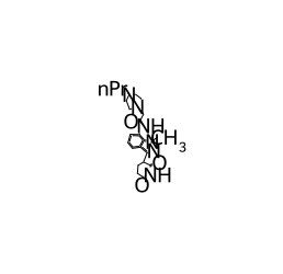 CCCN1CCN(CC(=O)Nc2cccc3c(C4CCC(=O)NC4=O)nn(C)c23)CC1